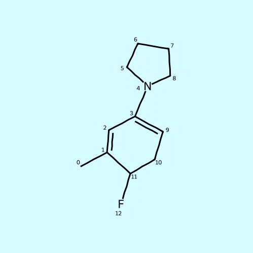 CC1=CC(N2CCCC2)=CCC1F